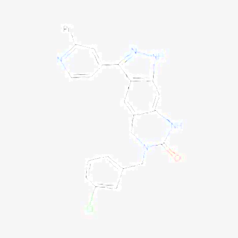 CC(C)c1cc(-c2n[nH]c3cc4c(cc23)CN(Cc2cccc(Cl)c2)C(=O)N4)ccn1